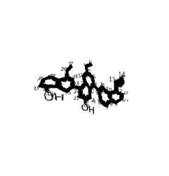 C=Cc1cc(-c2ccc3cccc(C=C)c3c2)c2cc(O)cc(-c3cc(C=C)c4cccc(O)c4c3)c2c1